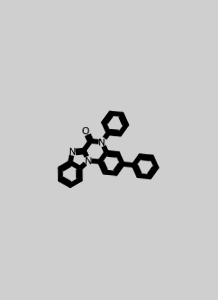 O=c1c2nc3ccccc3n2c2ccc(-c3ccccc3)cc2n1-c1ccccc1